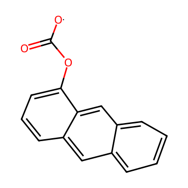 [O]C(=O)Oc1cccc2cc3ccccc3cc12